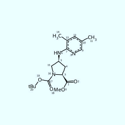 COC(=O)[C@@H]1C[C@H](Nc2ncc(C)cc2C)CN1C(=O)OC(C)(C)C